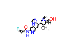 [2H][C@](O)(CCC)c1cc(C)c(-c2cc3cnc(NC(=O)[C@H]4C[C@H]4F)cc3n3ccnc23)cn1